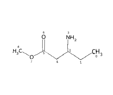 CCC(N)CC(=O)OC